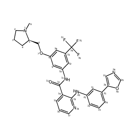 CN1CCC[C@@H]1COc1cc(NC(=O)c2cccnc2Nc2cccc(-c3cnco3)c2)cc(C(F)(F)F)c1